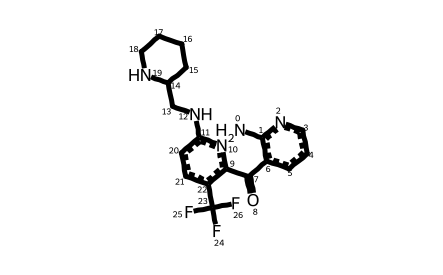 Nc1ncccc1C(=O)c1nc(NCC2CCCCN2)ccc1C(F)(F)F